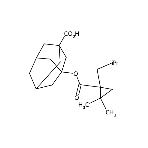 CC(C)CC1(C(=O)OC23CC4CC(C2)CC(C(=O)O)(C4)C3)CC1(C)C